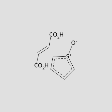 O=C(O)C=CC(=O)O.[O-][s+]1cccc1